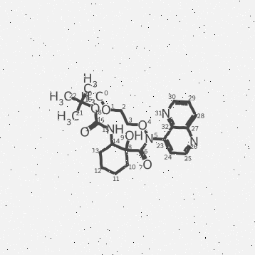 COCCON(C(=O)C1(O)CCCCC1NC(=O)OC(C)(C)C)c1ccnc2cccnc12